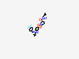 CC(C)(C)c1nc2cc(S(=O)(=O)N3CCC[C@H](C(=O)NCC4CC4)C3)ccc2n1CC1CCC(F)(F)CC1